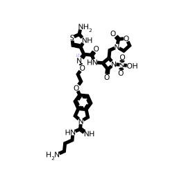 N=C(NCCCN)N1Cc2ccc(OCCO/N=C(\C(=O)NC3C(=O)N(S(=O)(=O)O)C3CN3CCOC3=O)C3=CSC(N)N3)cc2C1